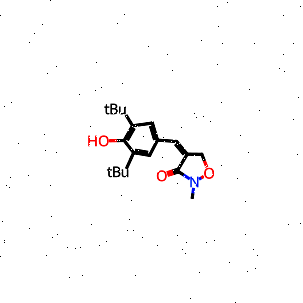 CN1OCC(=Cc2cc(C(C)(C)C)c(O)c(C(C)(C)C)c2)C1=O